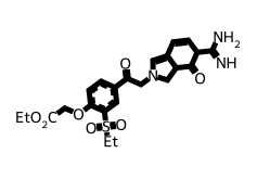 CCOC(=O)COc1ccc(C(=O)CN2C=C3C=CC(C(=N)N)C(=O)C3C2)cc1S(=O)(=O)CC